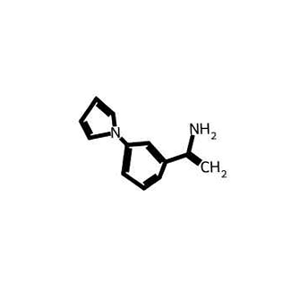 C=C(N)c1cccc(-n2cccc2)c1